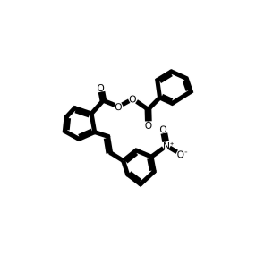 O=C(OOC(=O)c1ccccc1/C=C/c1cccc([N+](=O)[O-])c1)c1ccccc1